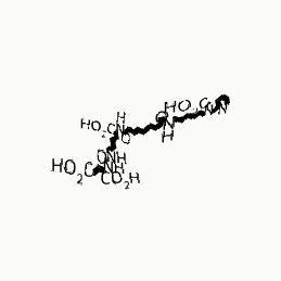 O=C(O)CCC(NC(=O)NCCCCC(NC(=O)CCCCCCC(=O)NCCCCCCN(CC(=O)O)Cc1ccccn1)C(=O)O)C(=O)O